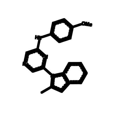 COc1ccc(Nc2cncc(-n3c(C)cc4ccccc43)n2)cc1